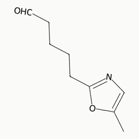 Cc1cnc(CCCCC=O)o1